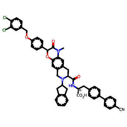 CN1C(=O)C(c2ccc(OCc3ccc(Cl)c(Cl)c3)cc2)Oc2cc3c(cc21)CC(C(=O)N[C@@H](Cc1ccc(-c2ccc(C#N)cc2)cc1)C(=O)O)N(C1Cc2ccccc2C1)C3